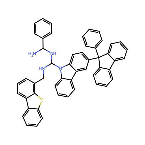 NC(NC(NCc1cccc2c1sc1ccccc12)n1c2ccccc2c2cc(C3(c4ccccc4)c4ccccc4-c4ccccc43)ccc21)c1ccccc1